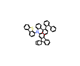 c1ccc(-c2ccccc2-c2ccccc2-c2ccccc2N(c2ccc3c(c2)C2(CC4CCC2C4)c2ccccc2-3)c2cccc3c2sc2ccccc23)cc1